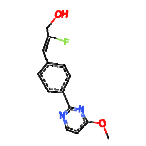 COc1ccnc(-c2ccc(C=C(F)CO)cc2)n1